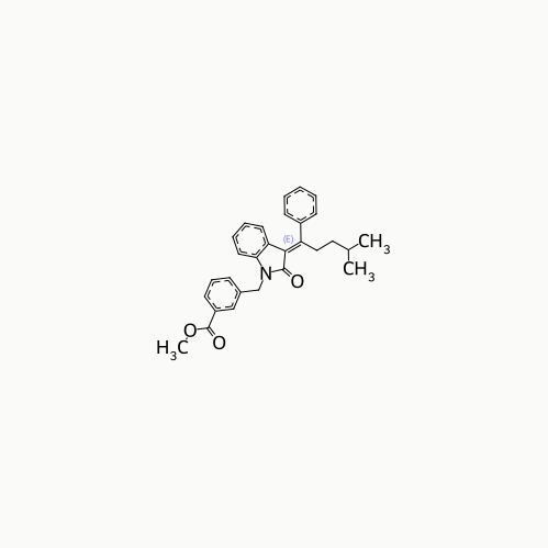 COC(=O)c1cccc(CN2C(=O)/C(=C(\CCC(C)C)c3ccccc3)c3ccccc32)c1